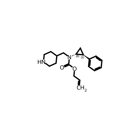 C=CCOC(=O)N(CC1CCNCC1)[C@@H]1C[C@H]1c1ccccc1